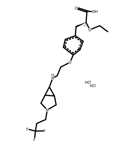 CCO[C@@H](Cc1ccc(OCCNC2C3CN(CCC(F)(F)F)CC32)cc1)C(=O)O.Cl.Cl